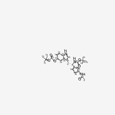 CC(=O)Nc1nc([C@H](Cc2c[nH]c3ccc(OC(=O)OC(C)(C)C)cc23)NC(=O)OC(C)(C)C)cs1